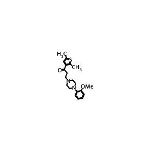 COc1ccccc1N1CCN(CCC(=O)c2cc(C)sc2C)CC1